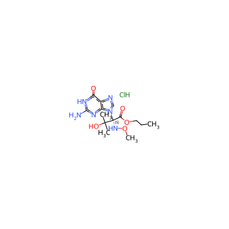 CCCOC(=O)[C@](NOC)(n1cnc2c(=O)[nH]c(N)nc21)C(C)(C)O.Cl